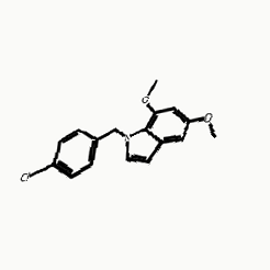 COc1cc(OC)c2c(ccn2Cc2ccc(Cl)cc2)c1